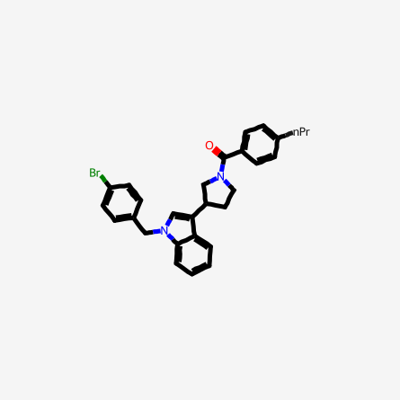 CCCc1ccc(C(=O)N2CCC(c3cn(Cc4ccc(Br)cc4)c4ccccc34)C2)cc1